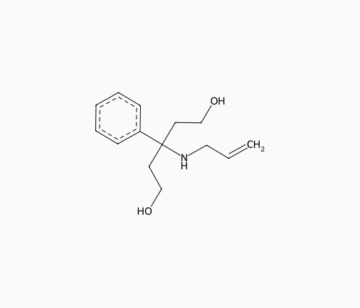 C=CCNC(CCO)(CCO)c1ccccc1